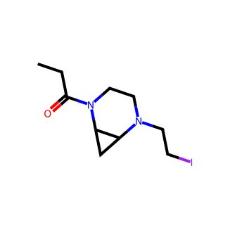 CCC(=O)N1CCN(CCI)C2CC21